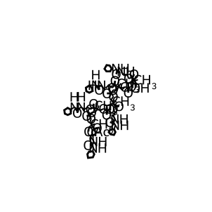 CC(=O)OCC(C)(COC(=O)OCC(C)(COC(=O)OCC(C)(COC(=O)OCC(C)(COC(=O)OCC(C)(CO)C(=O)OCCNC(=O)Nc1ccccc1)C(=O)OCCNC(=O)Nc1ccccc1)C(=O)OCCNC(=O)Nc1ccccc1)C(=O)OCCNC(=O)Nc1ccccc1)C(=O)OCCNC(=O)Nc1ccccc1